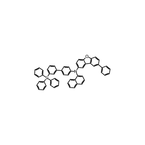 c1ccc(-c2ccc3oc4ccc(N(c5ccc(-c6cccc([Si](c7ccccc7)(c7ccccc7)c7ccccc7)c6)cc5)c5cccc6ccccc56)cc4c3c2)cc1